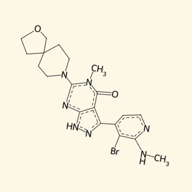 CNc1nccc(-c2n[nH]c3nc(N4CCC5(CCOC5)CC4)n(C)c(=O)c23)c1Br